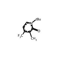 Cc1c(C(F)(F)F)ccn(C(C)(C)C)c1=O